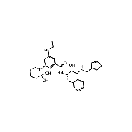 CCNc1cc(C(=O)N[C@@H](Cc2ccccc2)[C@H](O)CNCc2ccsc2)cc(N2CCCCS2(O)O)c1